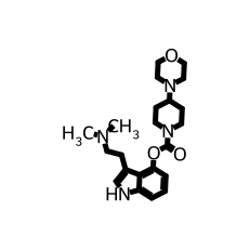 CN(C)CCc1c[nH]c2cccc(OC(=O)N3CCC(N4CCOCC4)CC3)c12